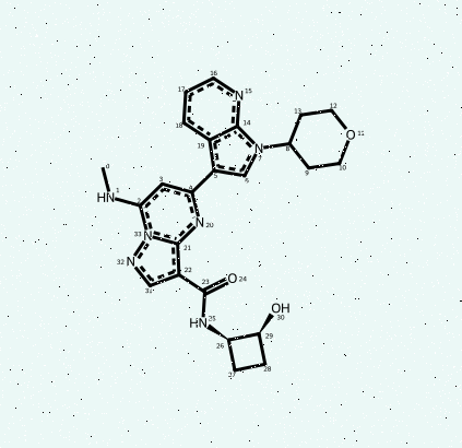 CNc1cc(-c2cn(C3CCOCC3)c3ncccc23)nc2c(C(=O)N[C@@H]3CC[C@@H]3O)cnn12